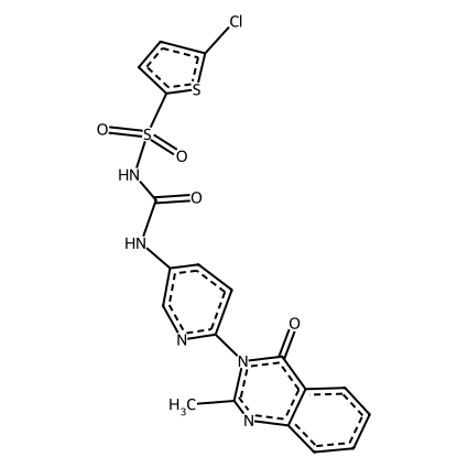 Cc1nc2ccccc2c(=O)n1-c1ccc(NC(=O)NS(=O)(=O)c2ccc(Cl)s2)cn1